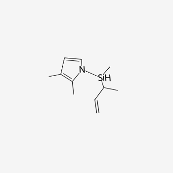 C=CC(C)[SiH](C)n1ccc(C)c1C